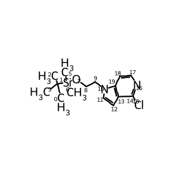 CC(C)(C)[Si](C)(C)OCCn1ccc2c(Cl)nccc21